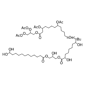 CCCCC(O)CCCCCC(O)C(=O)OCC(O)COC(=O)CCCCCCCCCCC(O)O.CCCCCCCCCCCCCCC(CCCCC(CC(=O)OCC(COOC(C)=O)OOC(C)=O)OC(C)=O)OC(C)=O